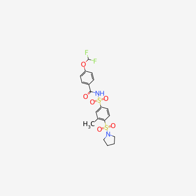 Cc1cc(S(=O)(=O)NC(=O)c2ccc(OC(F)F)cc2)ccc1S(=O)(=O)N1CCCC1